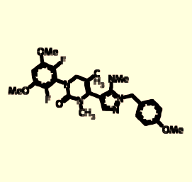 CNc1c(C2=C(C)CN(c3c(F)c(OC)cc(OC)c3F)C(=O)N2C)cnn1Cc1ccc(OC)cc1